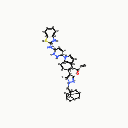 COC(=O)c1c(-c2cnn(CC34CC5CC(CC(C5)C3)C4)c2C)ccc2c1ccn2-c1ccc(Nc2nc3ccccc3s2)nn1